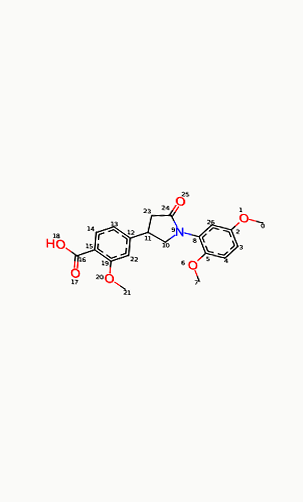 COc1ccc(OC)c(N2CC(c3ccc(C(=O)O)c(OC)c3)CC2=O)c1